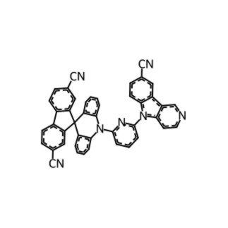 N#Cc1ccc2c(c1)C1(c3cc(C#N)ccc3-2)c2ccccc2N(c2cccc(-n3c4ccncc4c4cc(C#N)ccc43)n2)c2ccccc21